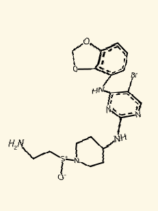 NCC[S+]([O-])N1CCC(Nc2ncc(Br)c(Nc3cccc4c3OCO4)n2)CC1